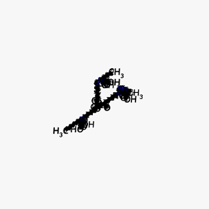 CCCCCCCCC(/C=C/CCCCCCC(=O)OC(CCC(=C=O)CCCCCCC/C=C\C/C=C\C=C\C(CC)C(CC(=O)O)C(=O)O)COC(=O)CCCCCCC/C=C\C=C\C(CCCCC)C(CC(=O)O)C(=O)O)C(CC(=O)O)C(=O)O